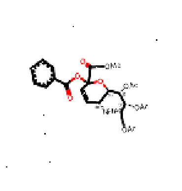 COC(=O)C1(OC(=O)c2ccccc2)C=C[C@@H](NC(C)=O)[C@H]([C@H](OC(C)=O)[C@@H](COC(C)=O)OC(C)=O)O1